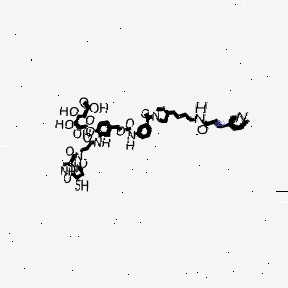 NCC(C(=O)NCCC(=O)Nc1cc(COC(=O)Nc2cccc(C(=O)N3CCC(CCCCNC(=O)/C=C/c4cccnc4)CC3)c2)ccc1OC1OC(C(=O)O)C(O)C(O)C1O)N1C(=O)CC(S)C1=O